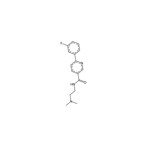 CN(C)CCNC(=O)c1ccc(-c2cccc(F)c2)nc1